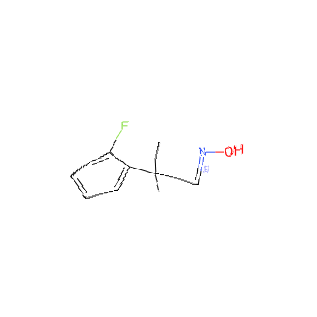 CC(C)(/C=N/O)c1ccccc1F